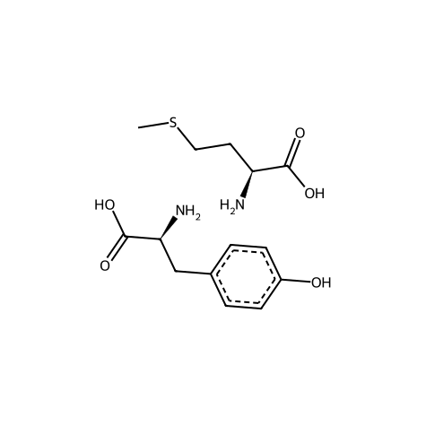 CSCC[C@H](N)C(=O)O.N[C@@H](Cc1ccc(O)cc1)C(=O)O